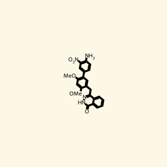 COc1cc(OC)c(-c2ccc(N)c([N+](=O)[O-])c2)cc1Cc1n[nH]c(=O)c2ccccc12